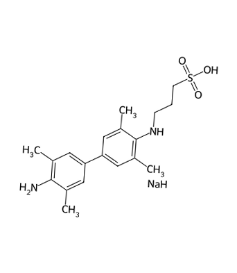 Cc1cc(-c2cc(C)c(NCCCS(=O)(=O)O)c(C)c2)cc(C)c1N.[NaH]